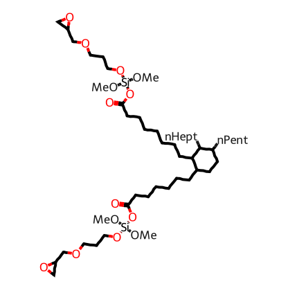 CCCCCCCC1C(CCCCC)CCC(CCCCCCC(=O)O[Si](OC)(OC)OCCCOCC2CO2)C1CCCCCCCC(=O)O[Si](OC)(OC)OCCCOCC1CO1